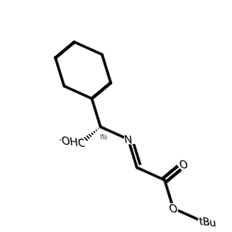 CC(C)(C)OC(=O)C=N[C@H]([C]=O)C1CCCCC1